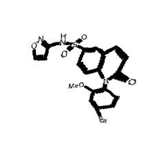 COC1=C(n2c(=O)ccc3cc(S(=O)(=O)Nc4ccon4)ccc32)CCC(Br)=C1